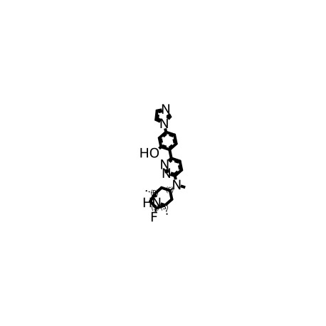 CN(c1ccc(-c2ccc(-n3ccnc3)cc2O)nn1)[C@H]1C[C@]2(C)C[C@H](F)[C@](C)(C1)N2